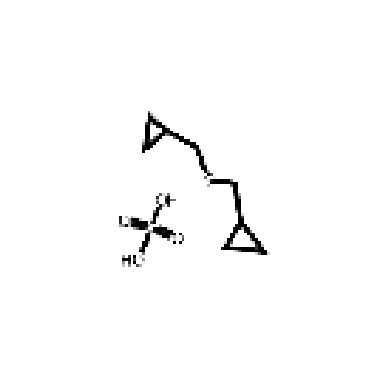 C1CC1CSCC1CC1.O=S(=O)(O)O